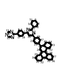 c1ccc(-c2nc(-c3ccc(-c4ncncn4)cc3)cc(-c3ccc(-c4cc5c6ccccc6c6ccccc6c5c5ccccc45)cc3)n2)cc1